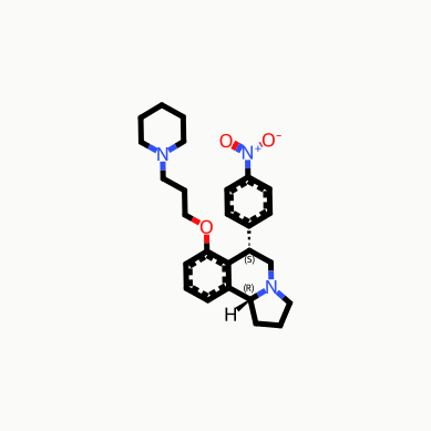 O=[N+]([O-])c1ccc([C@@H]2CN3CCC[C@@H]3c3cccc(OCCCN4CCCCC4)c32)cc1